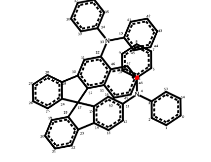 c1ccc(N(c2ccccc2)c2ccc3c(c2)C2(c4ccccc4-3)c3ccccc3-c3cc(N(c4ccccc4)c4ccccc4)c4ccccc4c32)cc1